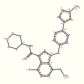 CCc1ccc(F)c2c(C(=O)NC3CCOCC3)cn(Cc3ccc(-c4cnn(C)c4)cc3)c12